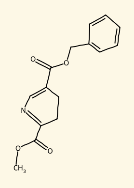 COC(=O)C1=NC=C(C(=O)OCc2ccccc2)CC1